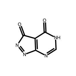 O=C1N=Nc2nc[nH]c(=O)c21